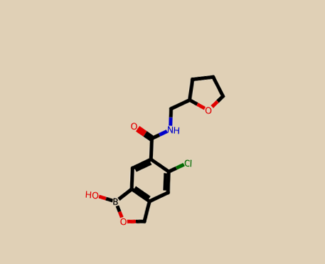 O=C(NCC1CCCO1)c1cc2c(cc1Cl)COB2O